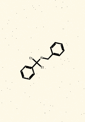 CC[C](CC)([Al][CH2]c1ccccc1)c1ccccc1